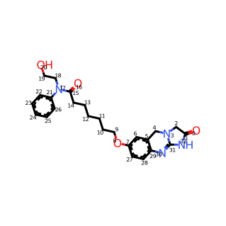 O=C1CN2Cc3cc(OCCCCCCC(=O)N(CCO)c4ccccc4)ccc3N=C2N1